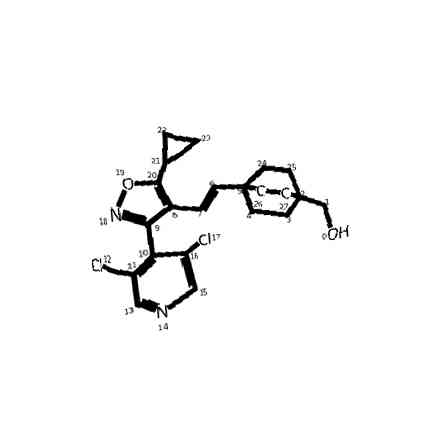 OCC12CCC(C=Cc3c(-c4c(Cl)cncc4Cl)noc3C3CC3)(CC1)CC2